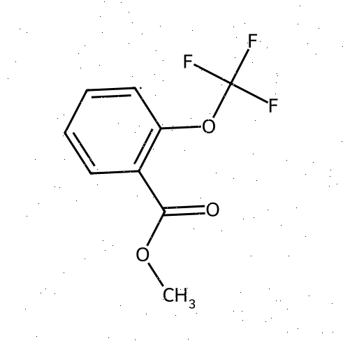 COC(=O)c1ccc[c]c1OC(F)(F)F